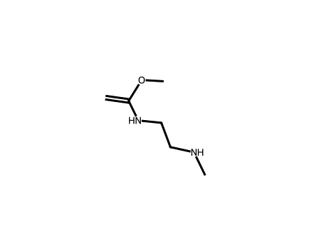 C=C(NCCNC)OC